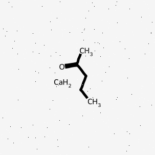 CCCC(C)=O.[CaH2]